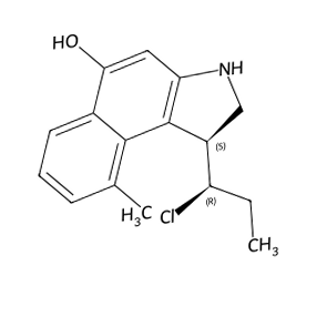 CC[C@@H](Cl)[C@@H]1CNc2cc(O)c3cccc(C)c3c21